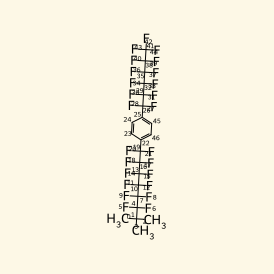 CC(C)(C)C(F)(F)C(F)(F)C(F)(F)C(F)(F)C(F)(F)C(F)(F)c1ccc(C(F)(F)C(F)(F)C(F)(F)C(F)(F)C(F)(F)C(F)(F)F)cc1